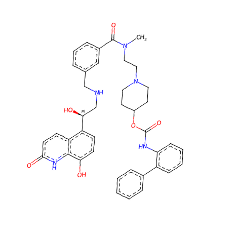 CN(CCN1CCC(OC(=O)Nc2ccccc2-c2ccccc2)CC1)C(=O)c1cccc(CNC[C@H](O)c2ccc(O)c3[nH]c(=O)ccc23)c1